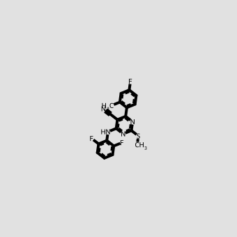 CSc1nc(Nc2c(F)cccc2F)c(C#N)c(-c2ccc(F)cc2C)n1